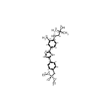 CCOP(=O)(Cc1ccc(-c2noc(-c3ccc(NCC(C)(C)O)c(N)c3)n2)cc1)OCC